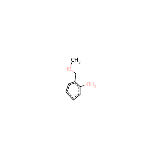 Bc1ccccc1CBC